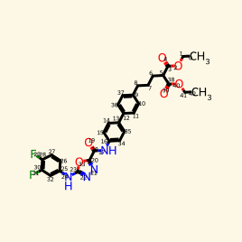 CCOC(=O)C(CCCc1ccc(-c2ccc(NC(=O)c3nnc(Nc4ccc(F)c(F)c4)o3)cc2)cc1)C(=O)OCC